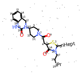 CCCCCCCC1SC(CC(=O)N2CCC(N3Cc4ccccc4NC3=O)CC2)C(=O)N1CCC(C)C